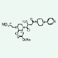 COC(=O)C[C@H]1C(=O)N(CC(=O)O)CCN1C(=O)C(O)CC(=O)N1CCN(c2ccncc2)CC1